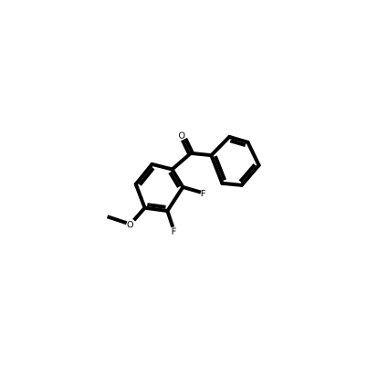 COc1ccc(C(=O)c2ccccc2)c(F)c1F